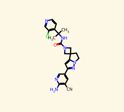 CC(C)(NC(=O)N1CC2(CCn3nc(-c4cnc(N)c(C#N)c4)cc32)C1)c1ccncc1Cl